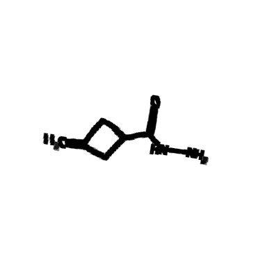 C=C1CC(C(=O)NN)C1